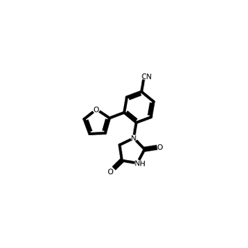 N#Cc1ccc(N2CC(=O)NC2=O)c(-c2ccco2)c1